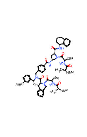 CNC(C)C(=O)NC(C(=O)N1Cc2ccccc2CC1C(=O)N(Cc1ccc(C(=O)N[C@H]2C[C@@H](C(=O)N[C@@H]3CCCc4ccccc43)N(C(=O)C(NC(=O)C(C)NC)C(C)(C)C)C2)cc1)[C@H](C)c1cccc(OC)c1)C(C)(C)C